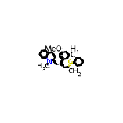 C=C(/C=C(/C=C1\C=Cc2ccccc2N1C)c1cccc(OC)c1)Sc1ccccc1C